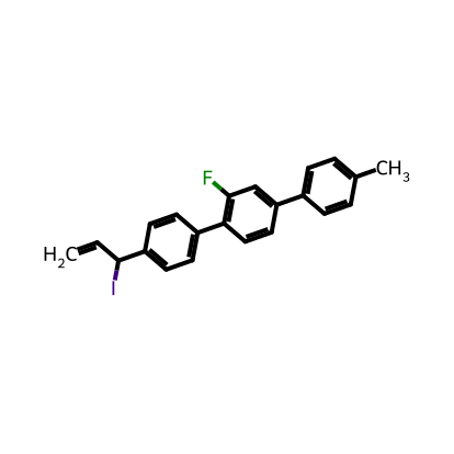 C=CC(I)c1ccc(-c2ccc(-c3ccc(C)cc3)cc2F)cc1